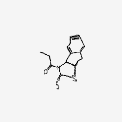 CCC(=O)N1C(=S)SC2Cc3ccccc3C21